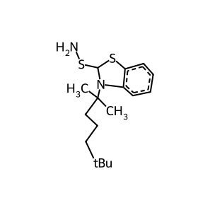 CC(C)(C)CCCC(C)(C)N1c2ccccc2SC1SN